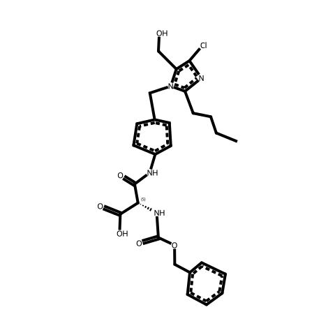 CCCCc1nc(Cl)c(CO)n1Cc1ccc(NC(=O)[C@H](NC(=O)OCc2ccccc2)C(=O)O)cc1